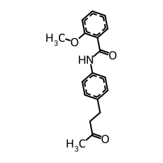 COc1ccccc1C(=O)Nc1ccc(CCC(C)=O)cc1